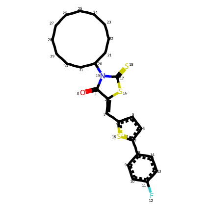 O=C1/C(=C/c2ccc(-c3ccc(F)cc3)s2)SC(=S)N1C1CCCCCCCCCCC1